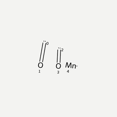 [C]=O.[C]=O.[Mn]